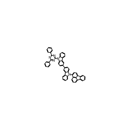 c1ccc(-c2nc(-c3ccccc3)nc(-n3c4ccccc4c4cc(-c5ccc6c(c5)c5ccccc5n6-c5ccc6c7c(cccc57)-c5ccccc5-6)ccc43)n2)cc1